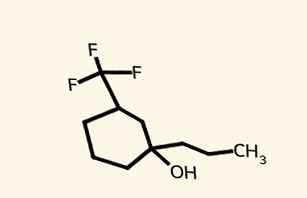 CCCC1(O)CCCC(C(F)(F)F)C1